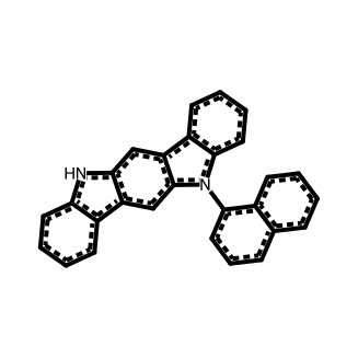 c1ccc2c(-n3c4ccccc4c4cc5[nH]c6ccccc6c5cc43)cccc2c1